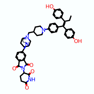 CCC(=C(c1ccc(O)cc1)c1ccc(N2CCC(CN3CC4CCC3CN4c3ccc4c(c3)C(=O)N(C3CCC(=O)NC3=O)C4=O)CC2)cc1)c1ccc(O)cc1